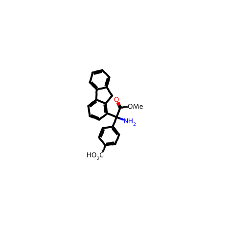 COC(=O)C(N)(c1ccc(C(=O)O)cc1)c1cccc2c1Cc1ccccc1-2